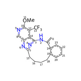 C=C1Nc2nc(nc3cnc(OC)c(C(F)(F)F)c23)CCCCc2ccccc21